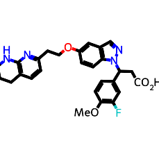 COc1ccc(C(CC(=O)O)n2ncc3cc(OCCc4ccc5c(n4)NCCC5)ccc32)cc1F